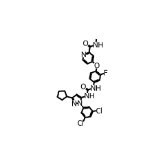 CNC(=O)c1cc(Oc2ccc(NC(=O)Nc3cc(C4CCCC4)nn3-c3cc(Cl)cc(Cl)c3)cc2F)ccn1